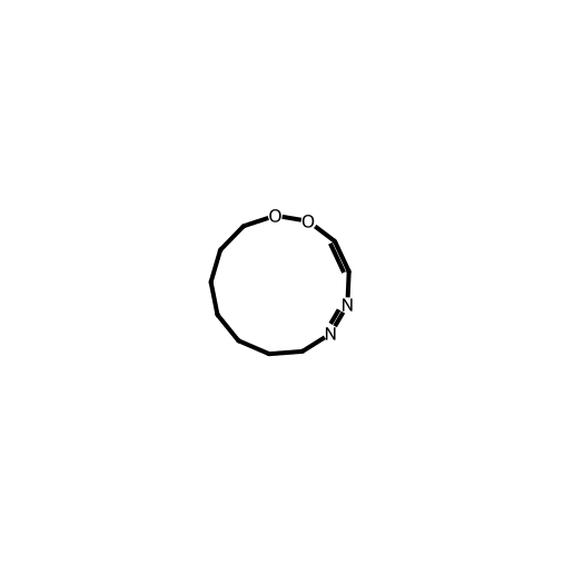 C1=COOCCCCCCCN=N1